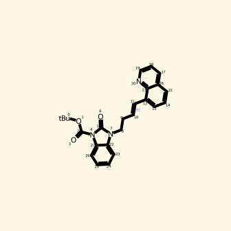 CC(C)(C)OC(=O)n1c(=O)n(CC/C=C/c2cccc3cccnc23)c2ccccc21